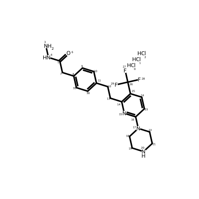 Cl.Cl.Cl.NNC(=O)Cc1ccc(CCc2nc(N3CCNCC3)ccc2C(F)(F)F)cc1